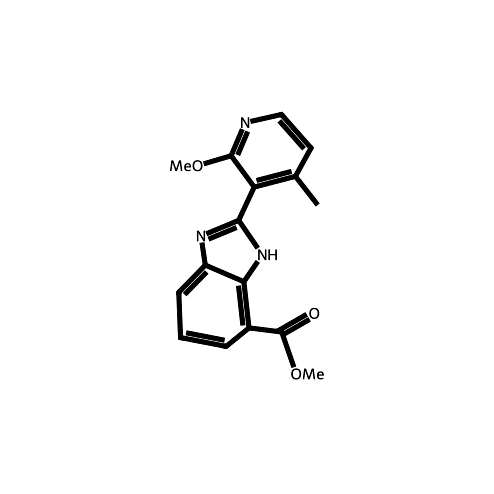 COC(=O)c1cccc2nc(-c3c(C)ccnc3OC)[nH]c12